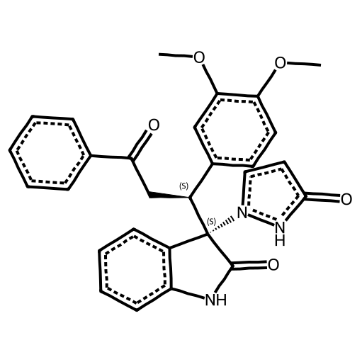 COc1ccc([C@H](CC(=O)c2ccccc2)[C@@]2(n3ccc(=O)[nH]3)C(=O)Nc3ccccc32)cc1OC